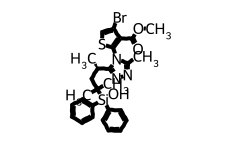 COC(=O)c1c(Br)csc1-n1c(C)nnc1[C@H](C)CC(C)(C)[Si](O)(c1ccccc1)c1ccccc1